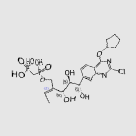 C/C=C(/COP(=O)(O)CP(=O)(O)O)[C@@H](O)[C@@H](O)[C@@H](O)c1ccc2c(OC3CCCC3)nc(Cl)nc2c1